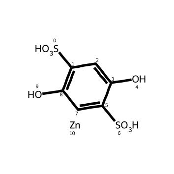 O=S(=O)(O)c1cc(O)c(S(=O)(=O)O)cc1O.[Zn]